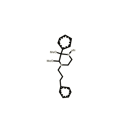 CCCN1CCN(CCCc2ccccc2)C(OC)C1(OC)c1ccccc1